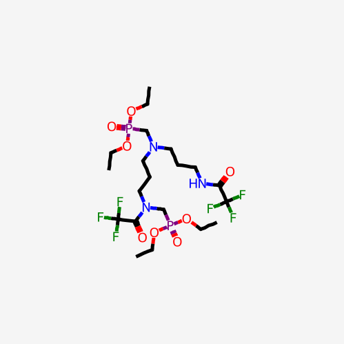 CCOP(=O)(CN(CCCNC(=O)C(F)(F)F)CCCN(CP(=O)(OCC)OCC)C(=O)C(F)(F)F)OCC